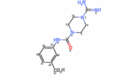 N=C(N)N1CCN(C(=O)Nc2cccc(C(=O)O)c2)CC1